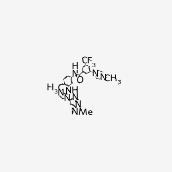 CNc1cc(-n2ccnc2Nc2cc(NC(=O)c3cc(N4CCN(C)CC4)cc(C(F)(F)F)c3)ccc2C)ncn1